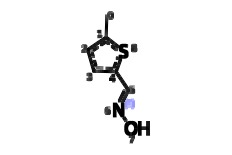 Cc1ccc(/C=N/O)s1